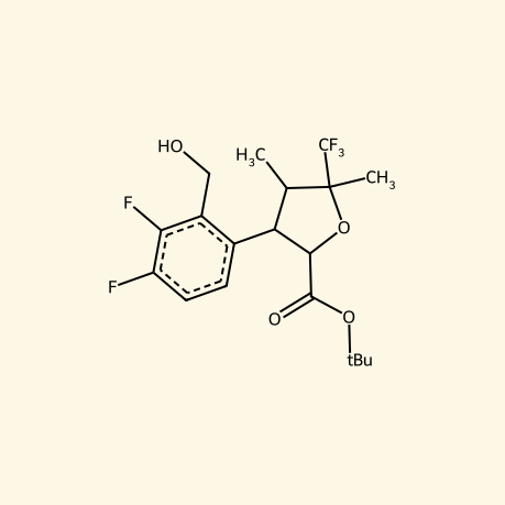 CC1C(c2ccc(F)c(F)c2CO)C(C(=O)OC(C)(C)C)OC1(C)C(F)(F)F